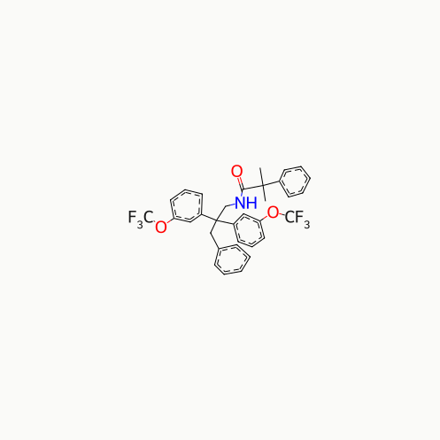 CC(C)(C(=O)NCC(Cc1ccccc1)(c1cccc(OC(F)(F)F)c1)c1cccc(OC(F)(F)F)c1)c1ccccc1